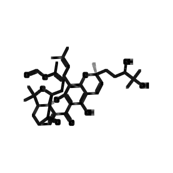 CC(C)=CCc1c2c(c(O)c3c1O[C@]14C(=CC5CC1C(C)(C)OC4(C/C=C(/C)OC=O)C5=O)C3=O)C=C[C@](C)(CCC(O)C(C)(C)O)O2